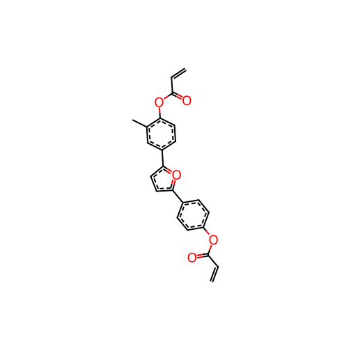 C=CC(=O)Oc1ccc(-c2ccc(-c3ccc(OC(=O)C=C)c(C)c3)o2)cc1